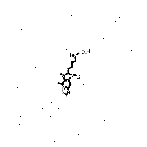 Cc1c2c(cc3nnnn13)N(CCl)C(CCCCNC(=O)O)N2C